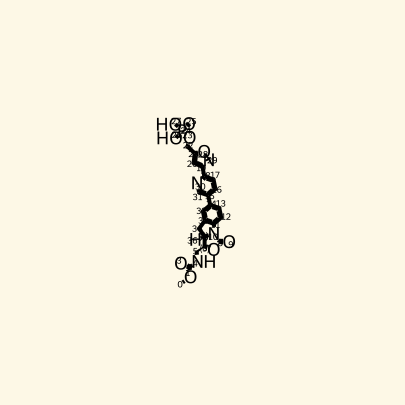 COC(=O)NC[C@@H]1OC(=O)N2c3ccc(-c4ccc(-c5cc(COP(=O)(O)O)on5)nc4)cc3C[C@@H]12